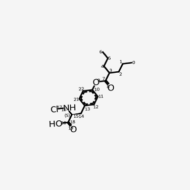 CCCC(CCC)C(=O)Oc1ccc(C[C@H](NCl)C(=O)O)cc1